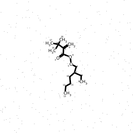 C=C(C(=O)OOCC(CC)CCCC)C(C)(C)C